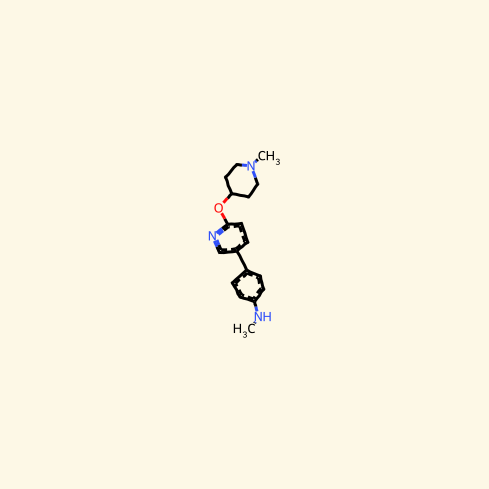 CNc1ccc(-c2ccc(OC3CCN(C)CC3)nc2)cc1